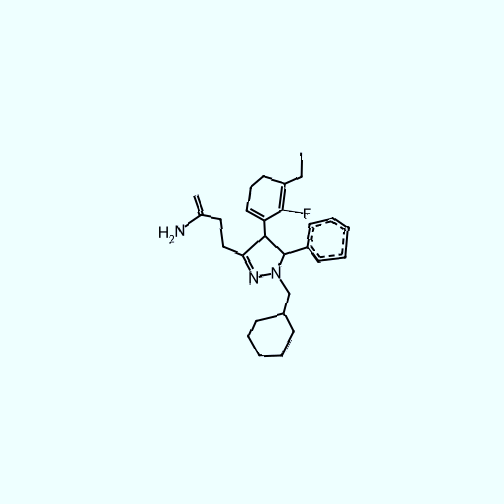 C=C(N)CCC1=NN(CC2CCCCC2)C(c2ccccc2)C1C1=CCCC(CC)=C1F